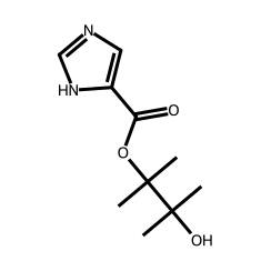 CC(C)(O)C(C)(C)OC(=O)c1cnc[nH]1